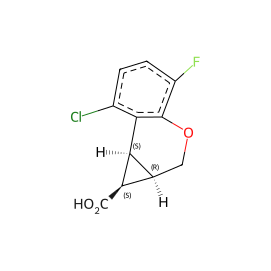 O=C(O)[C@@H]1[C@@H]2COc3c(F)ccc(Cl)c3[C@@H]21